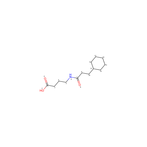 O=C(O)CCCNC(=O)CCC1CCCCC1